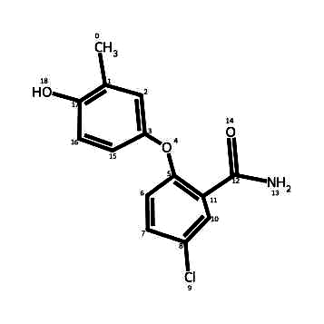 Cc1cc(Oc2ccc(Cl)cc2C(N)=O)ccc1O